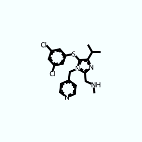 CNCc1nc(C(C)C)c(Sc2cc(Cl)cc(Cl)c2)n1Cc1ccncc1